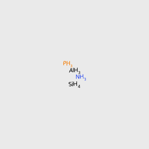 N.P.[AlH3].[SiH4]